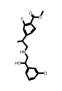 COC(=O)c1ccc(C(C)CNCC(O)c2cccc(Cl)c2)cc1F